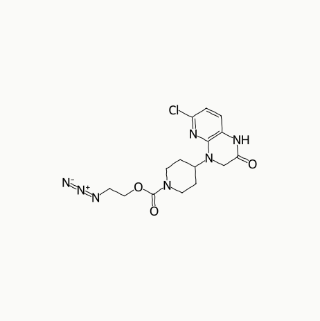 [N-]=[N+]=NCCOC(=O)N1CCC(N2CC(=O)Nc3ccc(Cl)nc32)CC1